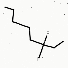 CCCCCC(F)(F)CC